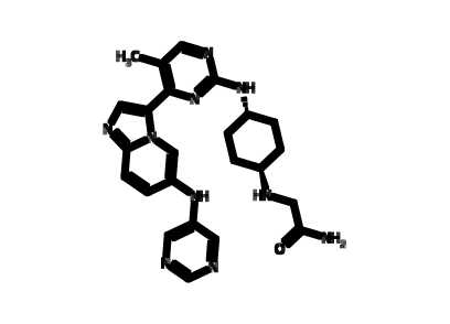 Cc1cnc(N[C@H]2CC[C@H](NCC(N)=O)CC2)nc1-c1cnc2ccc(Nc3cncnc3)cn12